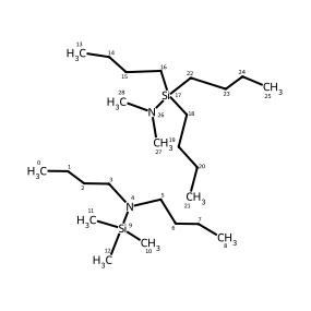 CCCCN(CCCC)[Si](C)(C)C.CCCC[Si](CCCC)(CCCC)N(C)C